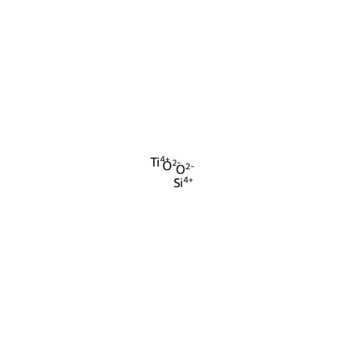 [O-2].[O-2].[Si+4].[Ti+4]